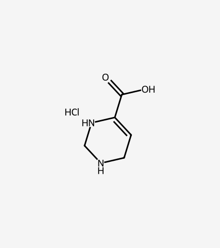 Cl.O=C(O)C1=CCNCN1